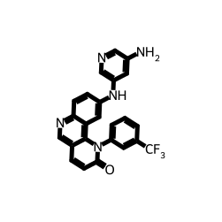 Nc1cncc(Nc2ccc3ncc4ccc(=O)n(-c5cccc(C(F)(F)F)c5)c4c3c2)c1